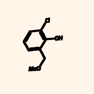 COCc1cccc(Cl)c1O